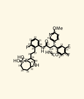 COc1ccc([C@@H](c2ccc(F)c(F)c2)[C@H](NC(=O)O)C(=O)Nc2cccc(F)c2CCC2CNC3CCCS(O)(O)N2C3)cn1